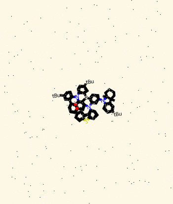 Cc1cc2c3c(c1)N(c1cccc4sc5ccccc5c14)c1cc(N4c5ccc(C(C)(C)C)cc5C5(C)CCCCC45C)ccc1B3c1cc(C(C)(C)C)ccc1N2c1ccc(C(C)(C)C)cc1-c1ccccc1